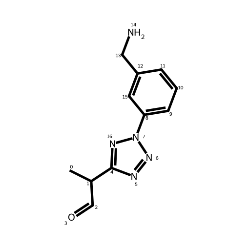 CC(C=O)c1nnn(-c2cccc(CN)c2)n1